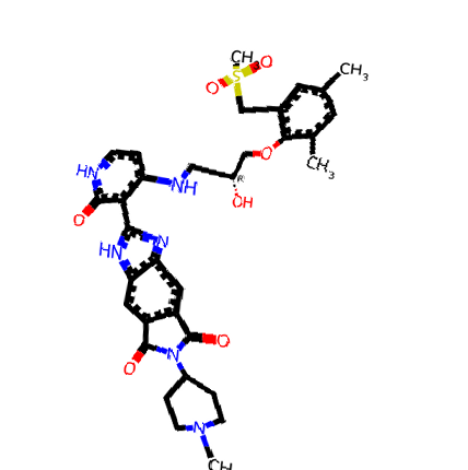 Cc1cc(C)c(OC[C@H](O)CNc2cc[nH]c(=O)c2-c2nc3cc4c(cc3[nH]2)C(=O)N(C2CCN(C)CC2)C4=O)c(CS(C)(=O)=O)c1